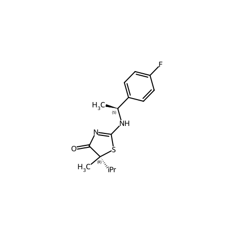 CC(C)[C@@]1(C)SC(N[C@@H](C)c2ccc(F)cc2)=NC1=O